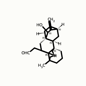 C=C1[C@H]2CC[C@@]3(CC[C@@H]4C5(C)CCC[C@@]4(CN(CC=O)C5)[C@@H]3C2)[C@H]1O